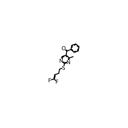 Cc1nc(SCCC=C(F)F)ncc1C(=O)c1ccccc1